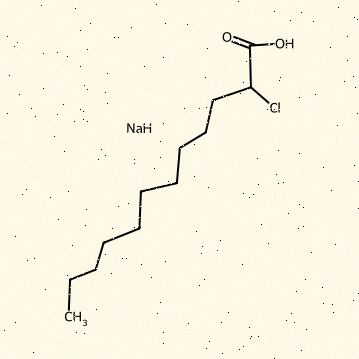 CCCCCCCCCCC(Cl)C(=O)O.[NaH]